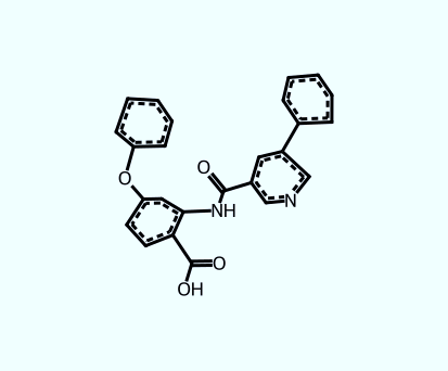 O=C(Nc1cc(Oc2ccccc2)ccc1C(=O)O)c1cncc(-c2ccccc2)c1